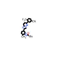 Cc1ccc(-c2cn3nc(-c4cc(C#N)ccc4C(F)(F)F)ccc3n2)cc1NC(=O)C(C)(C)C